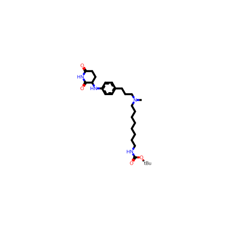 CN(CCCCCCCCNC(=O)OC(C)(C)C)CCCc1ccc(NC2CCC(=O)NC2=O)cc1